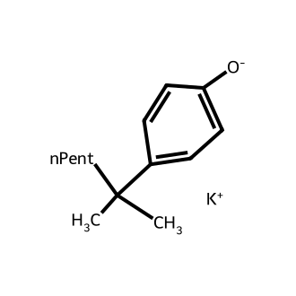 CCCCCC(C)(C)c1ccc([O-])cc1.[K+]